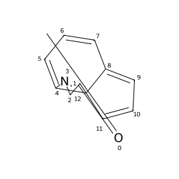 O=C1C=NC2=CC=CC3=CC=CC132